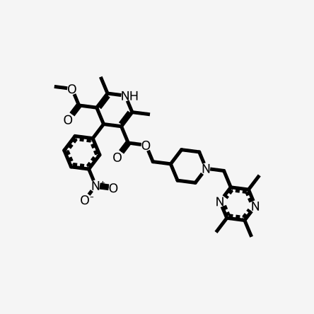 COC(=O)C1=C(C)NC(C)=C(C(=O)OCC2CCN(Cc3nc(C)c(C)nc3C)CC2)C1c1cccc([N+](=O)[O-])c1